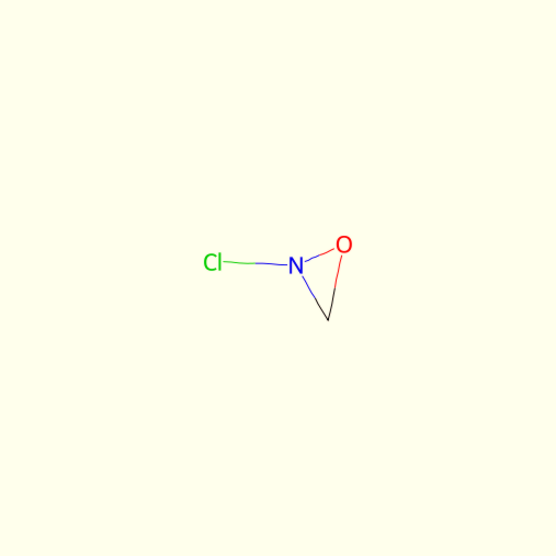 ClN1CO1